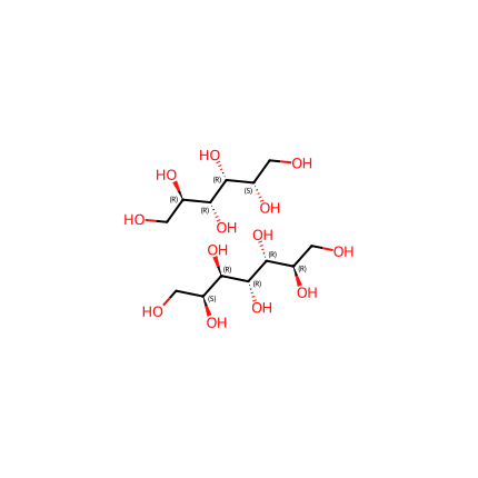 OC[C@@H](O)[C@@H](O)[C@H](O)[C@@H](O)CO.OC[C@@H](O)[C@@H](O)[C@H](O)[C@H](O)[C@@H](O)CO